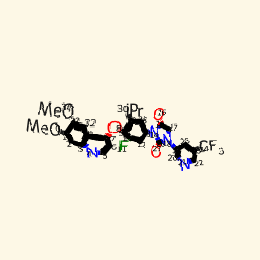 COc1cc2nccc(Oc3c(F)cc(N4C(=O)CN(c5cncc(C(F)(F)F)c5)C4=O)cc3C(C)C)c2cc1OC